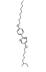 CCCCCCCCCOc1ccc(-c2ncc(OCCCCCC(C)CC)cn2)cc1